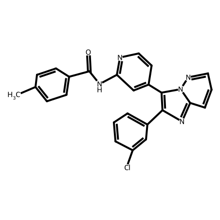 Cc1ccc(C(=O)Nc2cc(-c3c(-c4cccc(Cl)c4)nc4cccnn34)ccn2)cc1